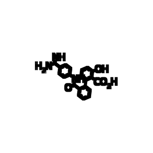 N=C(N)c1ccc(NC(=O)c2ccccc2-c2cccc(O)c2C(=O)O)cc1